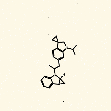 CC(C)N1CC2(CC2)c2ccc(CC(C)N3c4ccccc4C4C[C@H]43)cc21